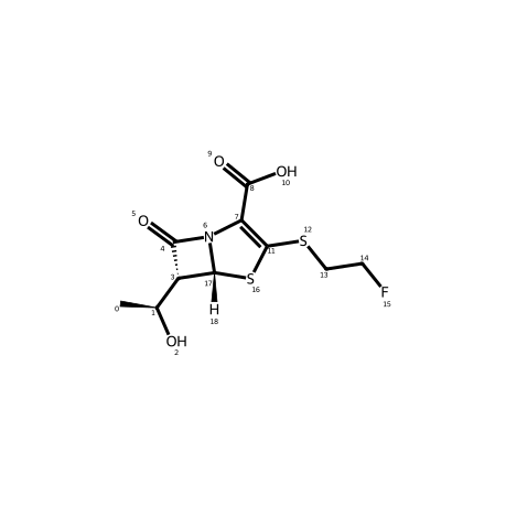 C[C@H](O)[C@@H]1C(=O)N2C(C(=O)O)=C(SCCF)S[C@H]12